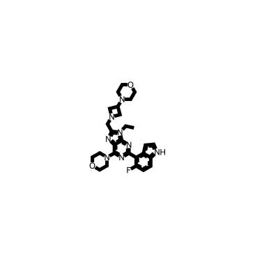 CCn1c(CN2CC(N3CCOCC3)C2)nc2c(N3CCOCC3)nc(-c3c(F)ccc4[nH]ccc34)nc21